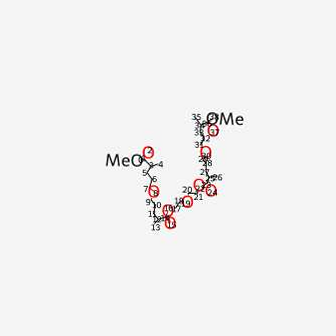 COC(=O)C(C)CCCOCCCC(C)C(=O)OCCOCCOC(=O)C(C)CCCOCCCC(C)C(=O)OC